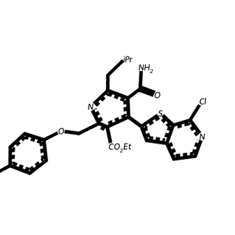 CCOC(=O)c1c(COc2ccc(F)cc2)nc(CC(C)C)c(C(N)=O)c1-c1cc2ccnc(Cl)c2s1